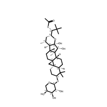 CC(=O)O[C@@H]([C@H]1C[C@@H](C)[C@H]2[C@@](O)(O1)[C@H](O)[C@@]1(C)[C@@H]3CC[C@H]4C(C)(C)[C@@H](O[C@@H]5OC[C@H](O)[C@H](O)[C@H]5O)CC[C@@]45C[C@@]35CC[C@]21C)C(C)(C)C